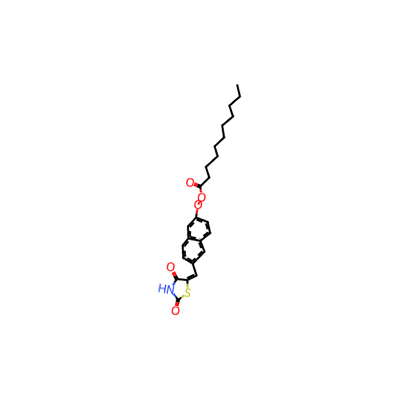 CCCCCCCCCCC(=O)OOc1ccc2cc(C=C3SC(=O)NC3=O)ccc2c1